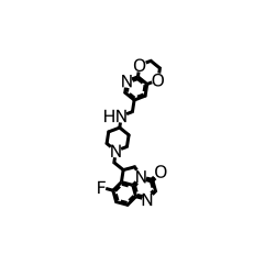 O=c1cnc2ccc(F)c3c2n1CC3CN1CCC(NCc2cnc3c(c2)OCCO3)CC1